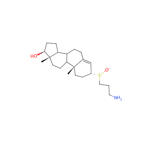 C[C@]12CC[C@@H]([S+]([O-])CCCN)C=C1CCC1C2CC[C@@]2(C)C1CC[C@@H]2O